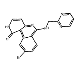 O=c1[nH]ccc2nc(NCc3ncccn3)c3ccc(Br)cc3c12